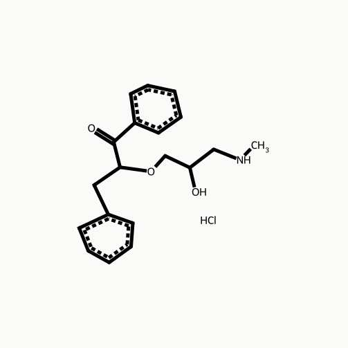 CNCC(O)COC(Cc1ccccc1)C(=O)c1ccccc1.Cl